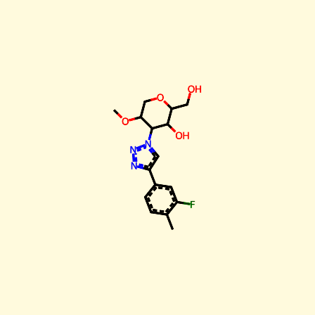 COC1COC(CO)C(O)C1n1cc(-c2ccc(C)c(F)c2)nn1